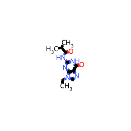 CCn1cnc2c(=O)[nH]c(NC(=O)C(C)C)nc21